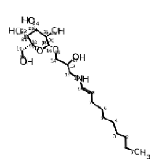 CCCCCCCCC=CNCC(O)CO[C@@H]1O[C@H](CO)[C@H](O)[C@H](O)[C@H]1O